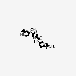 Cc1cn2cc(NC(=O)c3cnc(N(C)[C@H]4CCNC5(CC5)C4)cn3)cc(F)c2n1